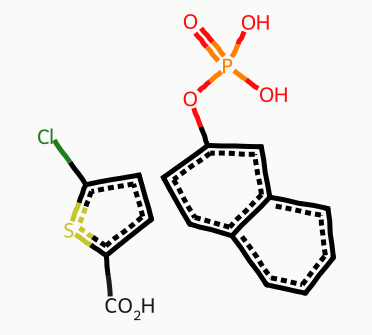 O=C(O)c1ccc(Cl)s1.O=P(O)(O)Oc1ccc2ccccc2c1